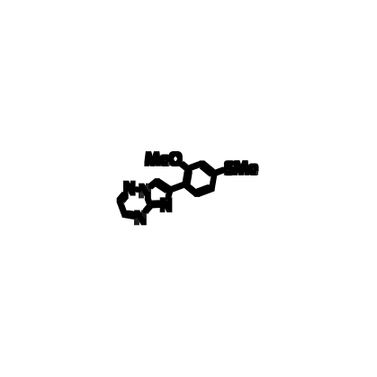 COc1cc(SC)ccc1-c1cn2nccnc2n1